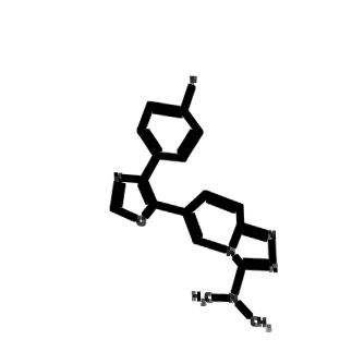 CN(C)c1nnc2ccc(-c3ocnc3-c3ccc(F)cc3)cn12